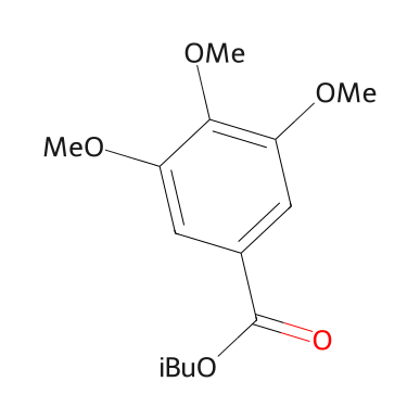 COc1cc(C(=O)OCC(C)C)cc(OC)c1OC